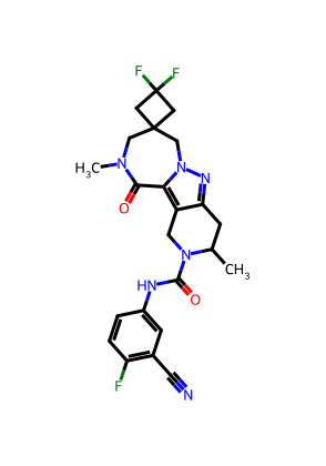 CC1Cc2nn3c(c2CN1C(=O)Nc1ccc(F)c(C#N)c1)C(=O)N(C)CC1(C3)CC(F)(F)C1